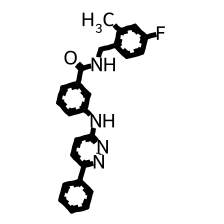 Cc1cc(F)ccc1CNC(=O)c1cccc(Nc2ccc(-c3ccccc3)nn2)c1